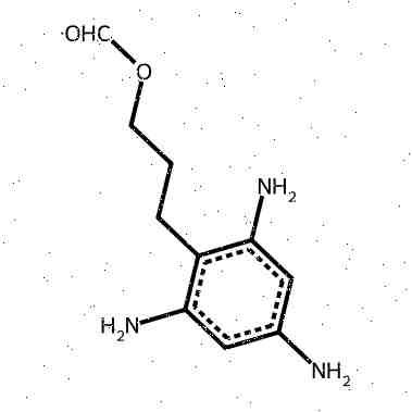 Nc1cc(N)c(CCCO[C]=O)c(N)c1